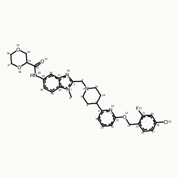 Cn1c(CN2CCC(c3cccc(OCc4ccc(Cl)cc4F)n3)CC2)nc2cc(NC(=O)C3COCCO3)ccc21